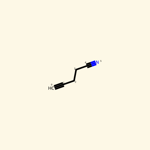 C#CC[CH]C#N